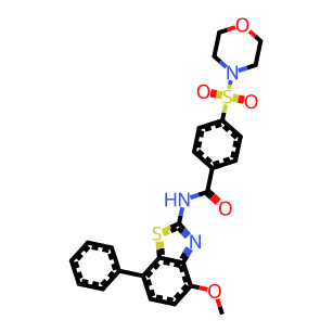 COc1ccc(-c2ccccc2)c2sc(NC(=O)c3ccc(S(=O)(=O)N4CCOCC4)cc3)nc12